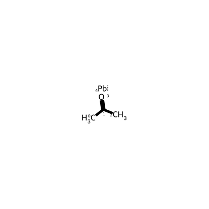 CC(C)=O.[Pb]